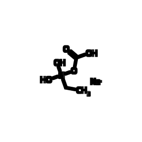 CC[Si](O)(O)OC(=O)O.[Na]